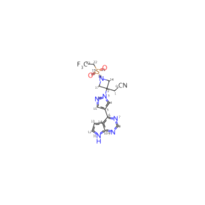 N#CCC1(n2cc(-c3ncnc4[nH]ccc34)cn2)CN(S(=O)(=O)CC(F)(F)F)C1